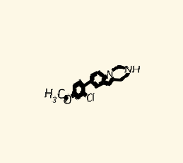 COc1ccc(-c2ccc3c(c2)cc2n3CCNCC2)c(Cl)c1